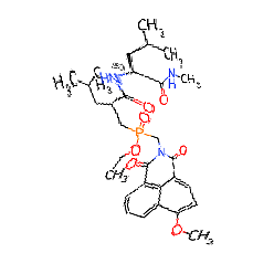 CCOP(=O)(CC(CC(C)C)C(=O)N[C@@H](CC(C)C)C(=O)NC)CN1C(=O)c2cccc3c(OC)ccc(c23)C1=O